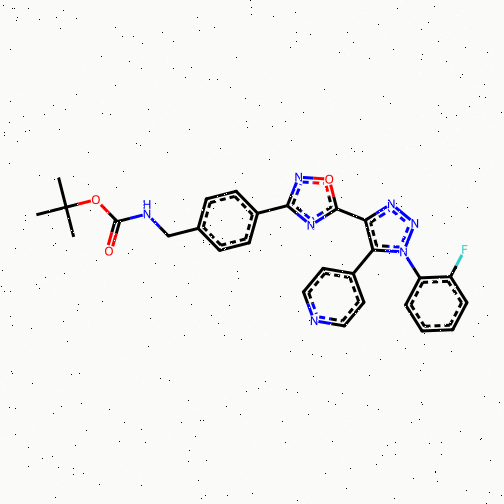 CC(C)(C)OC(=O)NCc1ccc(-c2noc(-c3nnn(-c4ccccc4F)c3-c3ccncc3)n2)cc1